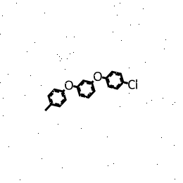 Cc1ccc(Oc2cccc(Oc3ccc(Cl)cc3)c2)cc1